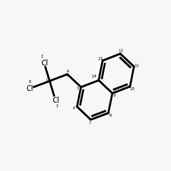 ClC(Cl)(Cl)[CH]c1cccc2ccccc12